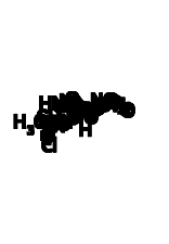 CC1(C)CCC(CN2CCN(c3ccc(C(=O)NS(=O)(=O)c4ccc(OC[C@H]5CN(C6COC6)CCO5)c([N+](=O)[O-])c4)c(N4CCCOc5nc6[nH]ccc6cc54)c3)CC2)=C(c2ccc(Cl)cc2)C1